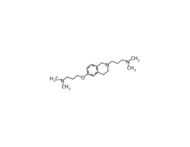 CN(C)CCCOc1ccc2c(c1)CCN(CCCN(C)C)C2